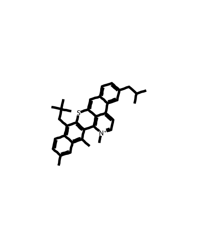 Cc1ccc2c(CC(C)(C)C)c3c(c(C)c2c1)-c1c2c(cc4ccc(CC(C)C)cc4c2cc[n+]1C)S3